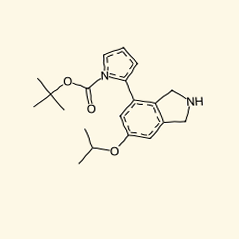 CC(C)Oc1cc2c(c(-c3cccn3C(=O)OC(C)(C)C)c1)CNC2